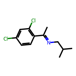 C/C(=N\CC(C)C)c1ccc(Cl)cc1Cl